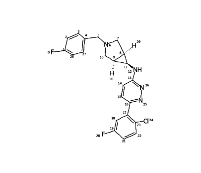 Fc1ccc(CN2C[C@@H]3[C@H](C2)[C@@H]3Nc2ccc(-c3cc(F)ccc3Cl)nn2)cc1